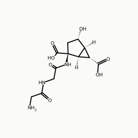 NCC(=O)NCC(=O)N[C@@]1(C(=O)O)C[C@H](O)[C@H]2[C@H](C(=O)O)[C@H]21